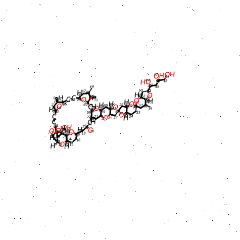 C=C1C[C@@H]2CC[C@@]34OC(C3CO)[C@@H]3O[C@H]5CC[C@H](CC(=O)C[C@@H]6CC7OC8C[C@]9(C[C@@H]%10O[C@@]%11(CC[C@@H]%10O9)C[C@H](C)[C@@H]9O[C@H]([C@@H](O)C[C@@H](O)CO)C[C@@H]9O%11)O[C@@H]8C[C@@H]7O[C@H]6C[C@H]6O[C@@H](CC[C@@H]1O2)C[C@@H](C)C6=C)O[C@@H]5[C@H](O4)[C@@H]3C